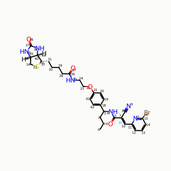 CCCC(NC(=O)/C(C#N)=C/c1cccc(Br)n1)c1ccc(OCCNC(=O)CCCC[C@@H]2SC[C@@H]3NC(=O)N[C@@H]32)cc1